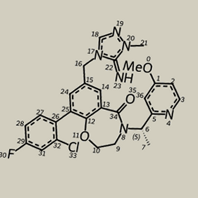 COc1ccnc([C@H](C)N2CCOc3c(cc(Cn4cnn(C)c4=N)cc3-c3ccc(F)cc3Cl)C2=O)c1